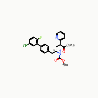 COC(=O)C(C[C@@H](Cc1ccc(-c2cc(Cl)ccc2F)cc1)NC(=O)OC(C)(C)C)c1ccccn1